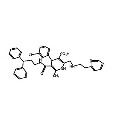 CC1=C(C(=O)NCCC(c2ccccc2)c2ccccc2)C(c2cccc(Cl)c2)C(C(=O)O)=C(CNCCc2ccccn2)N1